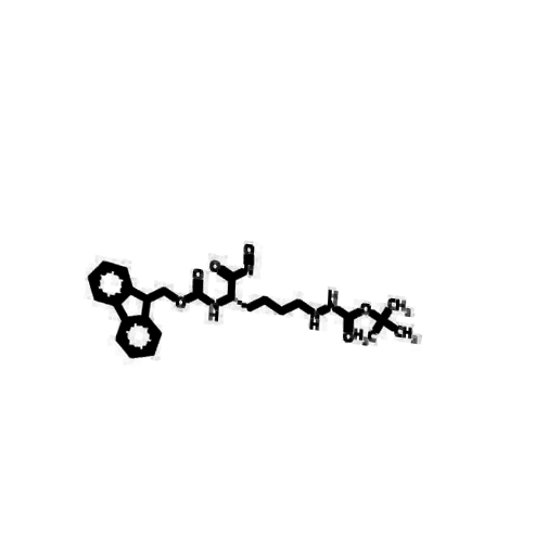 CC(C)(C)OC(=O)NNCCCC[C@H](NC(=O)OCC1c2ccccc2-c2ccccc21)C(=O)N=O